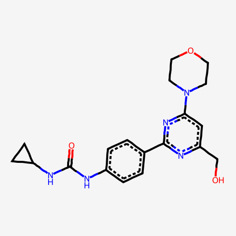 O=C(Nc1ccc(-c2nc(CO)cc(N3CCOCC3)n2)cc1)NC1CC1